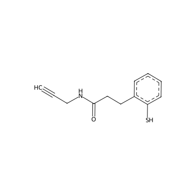 C#CCNC(=O)CCc1ccccc1S